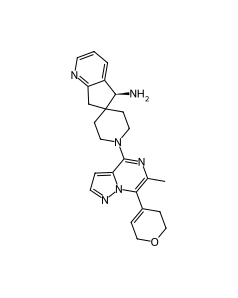 Cc1nc(N2CCC3(CC2)Cc2ncccc2[C@H]3N)c2ccnn2c1C1=CCOCC1